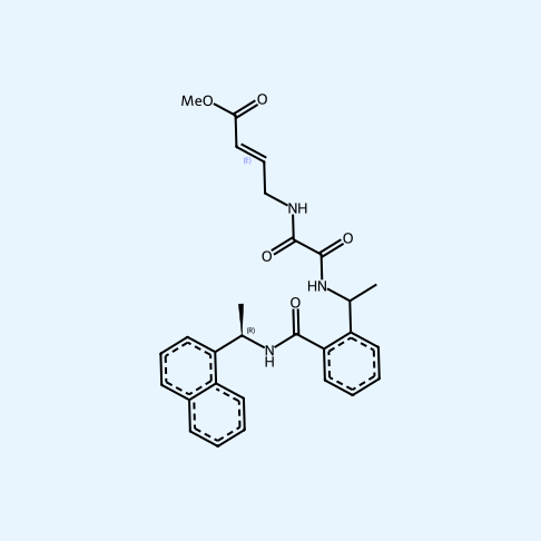 COC(=O)/C=C/CNC(=O)C(=O)NC(C)c1ccccc1C(=O)N[C@H](C)c1cccc2ccccc12